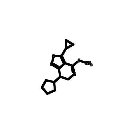 CSC1=NCC(C2CCCC2)c2noc(C3CC3)c21